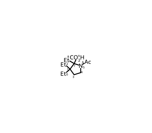 CCC1(CC)CCN(C(C)=O)C1(CC)C(=O)O